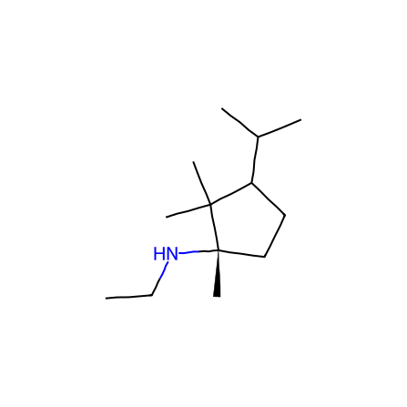 CCN[C@@]1(C)CCC(C(C)C)C1(C)C